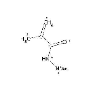 C=C(C)C(=O)NNC